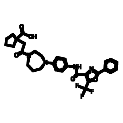 O=C(Nc1ccc(N2CCCN(C(=O)CC3(C(=O)O)CCCC3)CC2)cc1)c1nc(-c2ccccc2)oc1C(F)(F)F